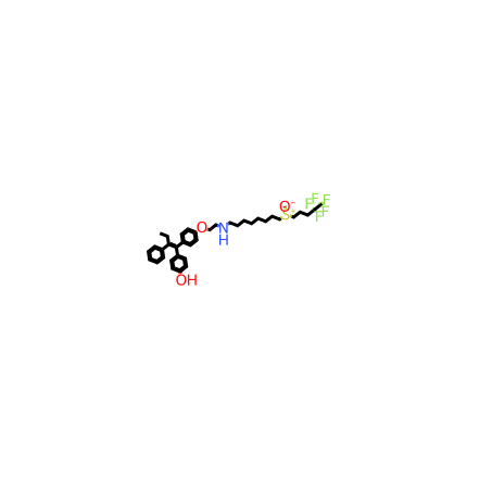 CCC(=C(c1ccc(O)cc1)c1ccc(OCCNCCCCCCCC[S+]([O-])CCCC(F)(F)C(F)(F)F)cc1)c1ccccc1